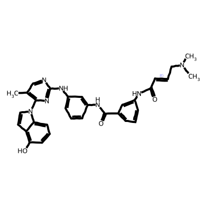 Cc1cnc(Nc2cccc(NC(=O)c3cccc(NC(=O)/C=C/CN(C)C)c3)c2)nc1-n1ccc2c(O)cccc21